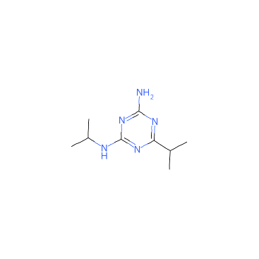 CC(C)Nc1nc(N)nc(C(C)C)n1